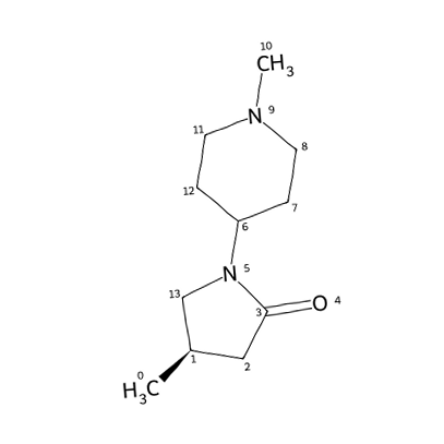 C[C@@H]1CC(=O)N(C2CCN(C)CC2)C1